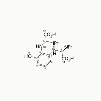 CC(C)[C@H](Nc1cccc(O)c1N[C@H](C(=O)O)C(C)C)C(=O)O